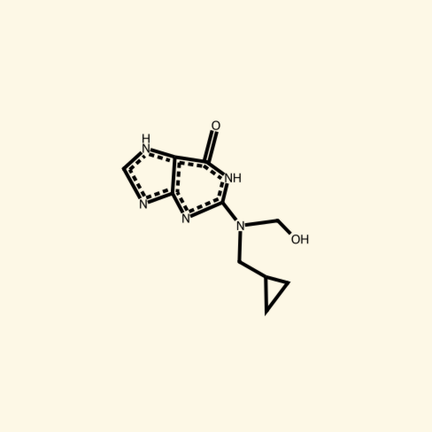 O=c1[nH]c(N(CO)CC2CC2)nc2nc[nH]c12